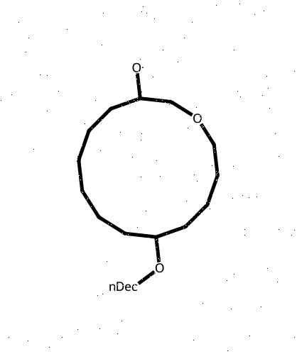 [CH2]CCCCCCCCCOC1CCCCCCC([O])COCCCC1